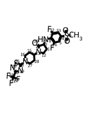 CS(=O)(=O)c1cc(F)c(NC2CCN(C3CCN(c4nc(C(F)(F)F)ns4)CC3)C2=O)c(F)c1